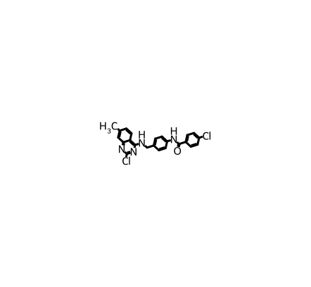 Cc1ccc2c(NCc3ccc(NC(=O)c4ccc(Cl)cc4)cc3)nc(Cl)nc2c1